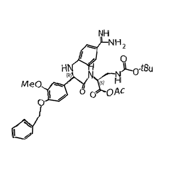 COc1cc([C@@H](Nc2ccc(C(=N)N)cc2)C(=O)N[C@@H](CNC(=O)OC(C)(C)C)C(=O)OC(C)=O)ccc1OCc1ccccc1